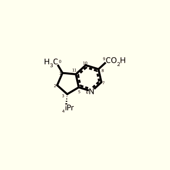 CC1C[C@@H](C(C)C)c2ncc(C(=O)O)cc21